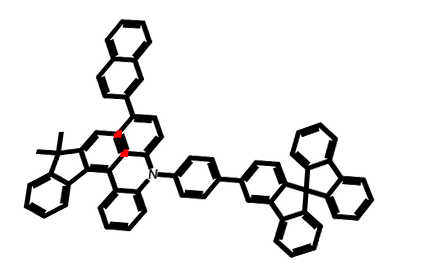 CC1(C)c2ccccc2-c2c(-c3ccccc3N(c3ccc(-c4ccc5c(c4)-c4ccccc4C54c5ccccc5-c5ccccc54)cc3)c3ccc(-c4ccc5ccccc5c4)cc3)cccc21